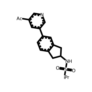 CC(=O)c1cncc(-c2ccc3c(c2)CC(NS(=O)(=O)C(C)C)C3)c1